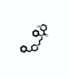 O=C(C1CCCNC1)N(CCCN1CCC(Cc2ccccc2)CC1)c1ccccc1